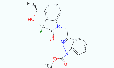 C[C@H](O)c1cccc2c1C(F)(F)C(=O)N2Cc1nn(C(=O)OC(C)(C)C)c2ccccc12